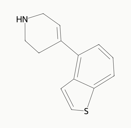 C1=C(c2cccc3sccc23)CCNC1